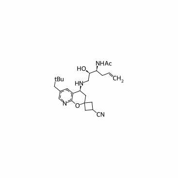 C=CC[C@H](NC(C)=O)[C@H](O)CN[C@H]1CC2(CC(C#N)C2)Oc2ncc(CC(C)(C)C)cc21